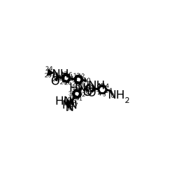 NCC1CCC(C(=O)N[C@@H](Cc2ccc(-c3ccc(C(=O)NC4CC4)cc3)cc2)C(=O)Nc2ccc(-c3nnn[nH]3)cc2)CC1